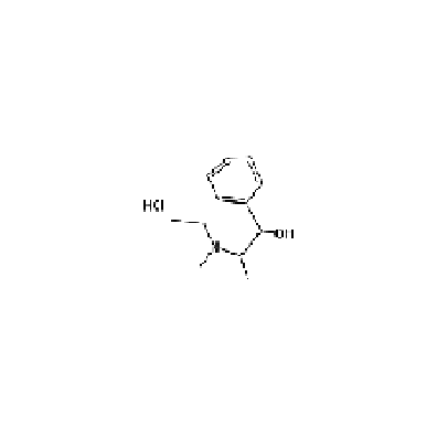 CCN(C)C(C)C(O)c1ccccc1.Cl